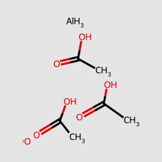 CC(=O)O.CC(=O)O.CC(=O)O.[AlH3].[O]